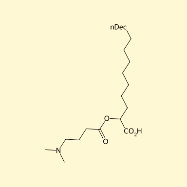 CCCCCCCCCCCCCCCCCC(OC(=O)CCCN(C)C)C(=O)O